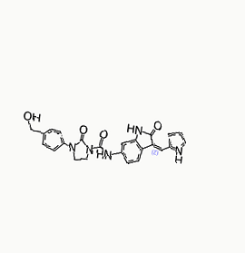 O=C1Nc2cc(NC(=O)N3CCN(c4ccc(CO)cc4)C3=O)ccc2/C1=C/c1ccc[nH]1